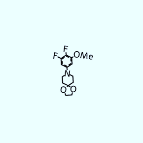 COc1cc(N2CCC3(CC2)OCCO3)cc(F)c1F